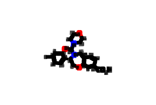 Cc1ccc([C@H]2COc3cc(C(=O)O)ccc3CN2C(=O)N2CCOCC2)cc1